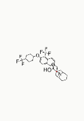 O=C(O)C1CC2CCCC(C1)N2CCc1ccc2c(C(F)(F)F)c(OC3CCC(C(F)(F)F)CC3)ccc2c1